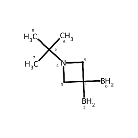 BC1(B)CN(C(C)(C)C)C1